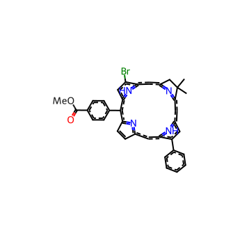 COC(=O)c1ccc(-c2c3nc(cc4[nH]c(cc5nc(cc6[nH]c2cc6Br)CC5(C)C)cc4-c2ccccc2)C=C3)cc1